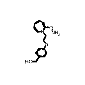 NOC1=CC=CC=CN1CCOc1ccc(CO)cc1